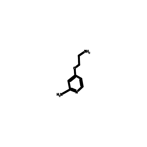 NCCOc1ccnc(N)c1